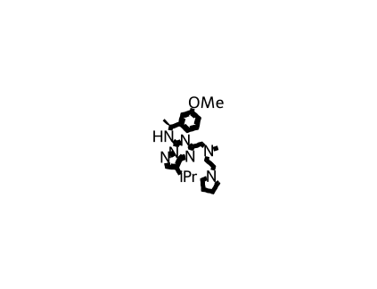 COc1cccc([C@H](C)Nc2nc(CN(C)CCN3CCCC3)nc3c(C(C)C)cnn23)c1